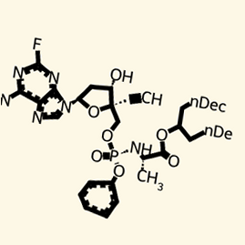 C#C[C@]1(CO[P@@](=O)(N[C@@H](C)C(=O)OC(CCCCCCCCCCC)CCCCCCCCCCC)Oc2ccccc2)O[C@@H](n2cnc3c(N)nc(F)nc32)C[C@@H]1O